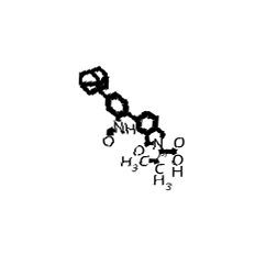 CC(C)[C@@H](C(=O)O)N1Cc2ccc(-c3ccc(C45CC6CC(CC(C6)C4)C5)cc3NC=O)cc2C1=O